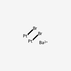 [Ba+2].[Br][Pt-].[Br][Pt-]